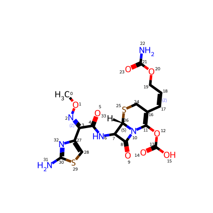 CO/N=C(\C(=O)NC1C(=O)N2C(OC(=O)O)=C(/C=C\COC(N)=O)CS[C@@H]12)c1csc(N)n1